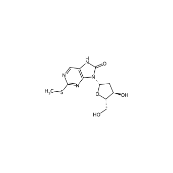 CSc1ncc2[nH]c(=O)n([C@@H]3C[C@@H](O)[C@H](CO)O3)c2n1